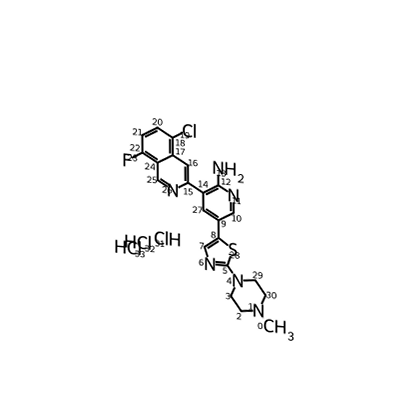 CN1CCN(c2ncc(-c3cnc(N)c(-c4cc5c(Cl)ccc(F)c5cn4)c3)s2)CC1.Cl.Cl.Cl